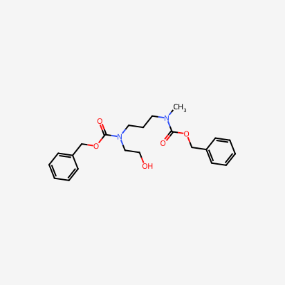 CN(CCCN(CCO)C(=O)OCc1ccccc1)C(=O)OCc1ccccc1